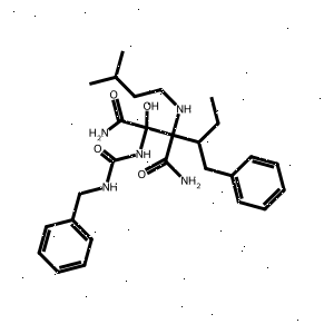 CCC(Cc1ccccc1)C(NCCC(C)C)(C(N)=O)C(O)(NC(=O)NCc1ccccc1)C(N)=O